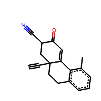 C#CC12CCc3cccc(C)c3C1=CC(=O)C(C#N)C2